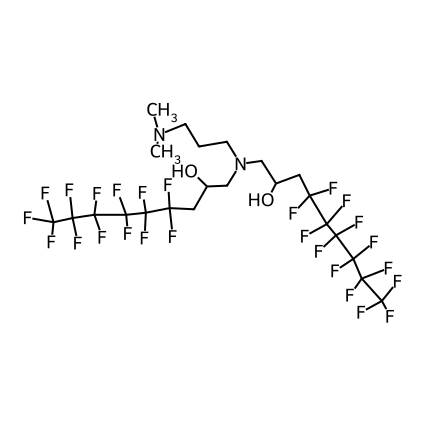 CN(C)CCCN(CC(O)CC(F)(F)C(F)(F)C(F)(F)C(F)(F)C(F)(F)C(F)(F)F)CC(O)CC(F)(F)C(F)(F)C(F)(F)C(F)(F)C(F)(F)C(F)(F)F